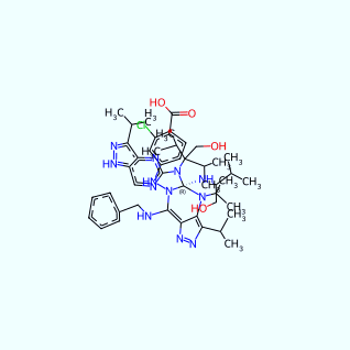 CC(C)C1=C2C(=C(NCc3ccccc3)N(Nc3ccc(C(=O)O)c(Cl)c3)[C@@](NC(CO)C(C)C)(N(c3ncc4[nH]nc(C(C)C)c4n3)C(CO)(C(C)C)C(C)C)N2C(C)C)N=N1